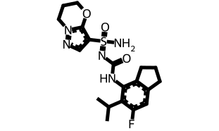 CC(C)c1c(F)cc2c(c1NC(=O)N=S(N)(=O)c1cnn3c1OCCC3)CCC2